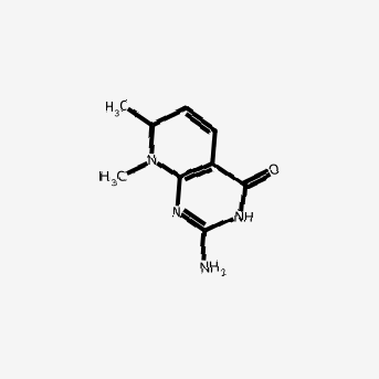 CC1C=Cc2c(nc(N)[nH]c2=O)N1C